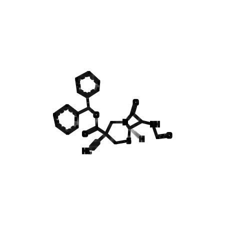 C#CC1(C(=O)OC(c2ccccc2)c2ccccc2)CS[C@@H]2C(NC=O)C(=O)N2C1